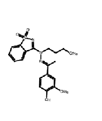 COCCCN(/N=C(\C)c1ccc(O)c(OC)c1)C1=NS(=O)(=O)c2ccccc21